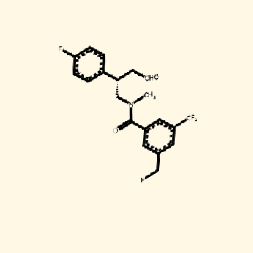 CN(C[C@@H](CC=O)c1ccc(F)cc1)C(=O)c1cc(CF)cc(C(F)(F)F)c1